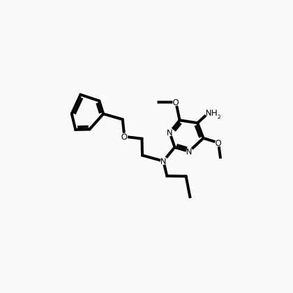 CCCN(CCOCc1ccccc1)c1nc(OC)c(N)c(OC)n1